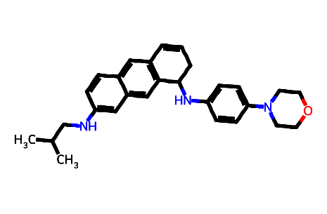 CC(C)CNc1ccc2cc3c(cc2c1)C(Nc1ccc(N2CCOCC2)cc1)CC=C3